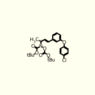 C[C@@H](C=Cc1cccc(Oc2ccc(Cl)cc2)c1)N(OC(=O)OC(C)(C)C)C(=O)OC(C)(C)C